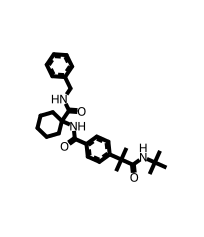 CC(C)(C)NC(=O)C(C)(C)c1ccc(C(=O)NC2(C(=O)NCc3ccccc3)CCCCC2)cc1